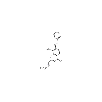 CCCc1c(OCc2ccccc2)ccc2c(=O)cc(/C=C/C(=O)OCC)oc12